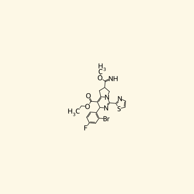 CCOC(=O)C1=C2CC(C(=N)OC)CN2C(c2nccs2)=NC1c1ccc(F)cc1Br